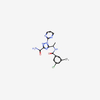 CC(NC(=O)c1cc(Cl)cc(C(F)(F)F)c1)c1nc(C(N)=O)nn1-c1ncccn1